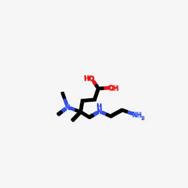 CN(C)C(C)(CCC(O)O)CNCCN